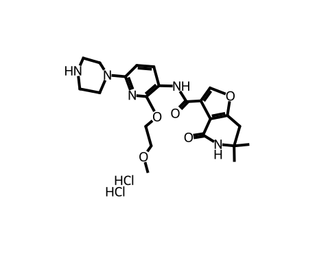 COCCOc1nc(N2CCNCC2)ccc1NC(=O)c1coc2c1C(=O)NC(C)(C)C2.Cl.Cl